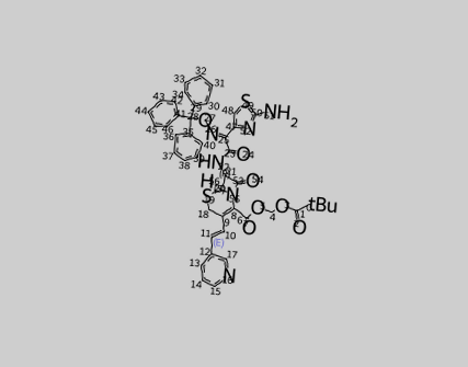 CC(C)(C)C(=O)OCOC(=O)C1=C(/C=C/c2cccnc2)CS[C@H]2[C@H](NC(=O)C(=NOC(c3ccccc3)(c3ccccc3)c3ccccc3)c3csc(N)n3)C(=O)N12